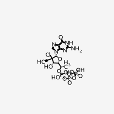 C#CC1(Cl)[C@@H](O)[C@@H]([C@@H](C)OP(=O)(O)OP(=O)(O)OP(=O)(O)O)O[C@H]1n1cnc2c(=O)[nH]c(N)nc21